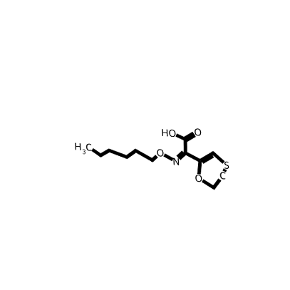 CCCCCCON=C(C(=O)O)C1=CSCCO1